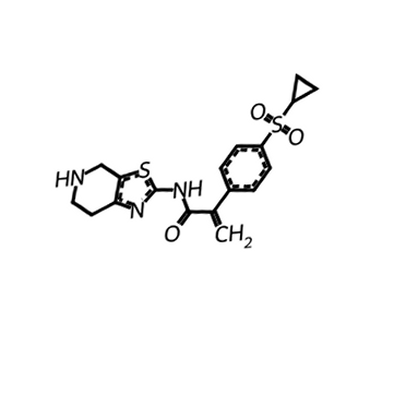 C=C(C(=O)Nc1nc2c(s1)CNCC2)c1ccc(S(=O)(=O)C2CC2)cc1